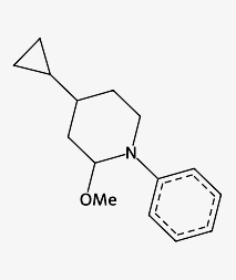 COC1CC(C2CC2)CCN1c1ccccc1